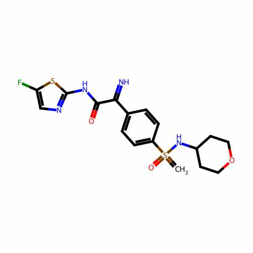 C=S(=O)(NC1CCOCC1)c1ccc(C(=N)C(=O)Nc2ncc(F)s2)cc1